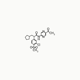 CC(=O)c1cnc(NC(=O)C(CC2CCCC2)c2ccc(S(C)(=O)=O)c(Cl)c2)cn1